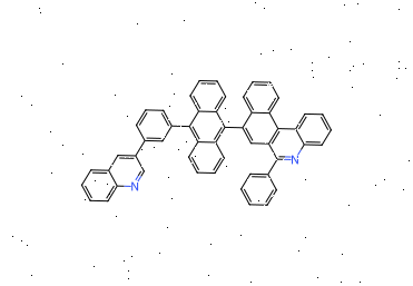 c1ccc(-c2nc3ccccc3c3c2cc(-c2c4ccccc4c(-c4cccc(-c5cnc6ccccc6c5)c4)c4ccccc24)c2ccccc23)cc1